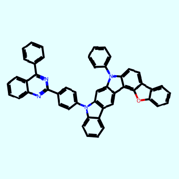 c1ccc(-c2nc(-c3ccc(-n4c5ccccc5c5cc6c7c8oc9ccccc9c8ccc7n(-c7ccccc7)c6cc54)cc3)nc3ccccc23)cc1